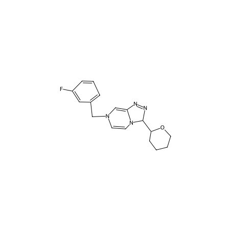 Fc1cccc(CN2C=CN3C(=C2)N=NC3C2CCCCO2)c1